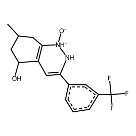 CC1CC2=C(C=C(c3cccc(C(F)(F)F)c3)N[NH+]2[O-])C(O)C1